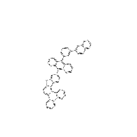 c1cc(-c2ccc3ccccc3c2)cc(-c2c3ccccc3c(-c3ccc4c(c3)sc3ccc5c6ccccc6c6ccccc6c5c34)c3ccccc23)c1